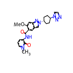 COc1cc2nn([C@H]3CC[C@H](n4ccnn4)CC3)cc2cc1C(=O)Nc1cccn(C)c1=O